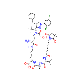 CC(C)C(NC(=O)CCCCCN1C(=O)CC(C)(C)C1=O)C(=O)N[C@@H](C)C(=O)N[C@@H](CCCCNC(=O)[C@@H](N)CCN(C(=O)CO)[C@@H](c1nn(-c2cc(F)ccc2F)cc1Cc1ccccc1)C(C)(C)C)C(=O)O